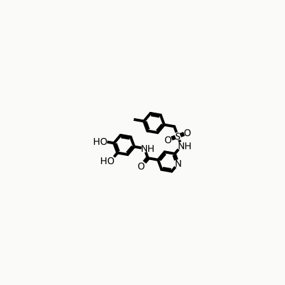 Cc1ccc(CS(=O)(=O)Nc2cc(C(=O)Nc3ccc(O)c(O)c3)ccn2)cc1